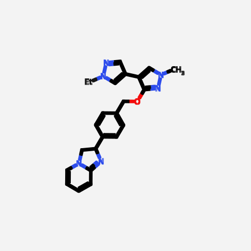 CCn1cc(-c2cn(C)nc2OCc2ccc(C3CN4C=CC=CC4=N3)cc2)cn1